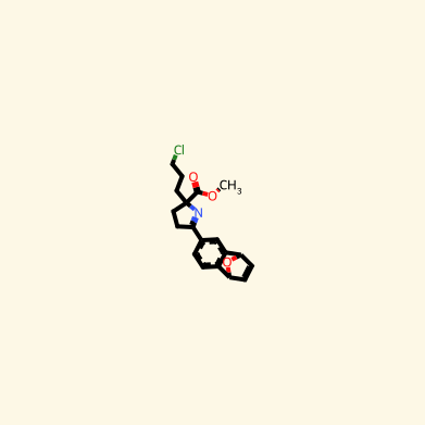 COC(=O)C1(CCCCl)CCC(c2ccc3c(c2)C2C=CC3O2)=N1